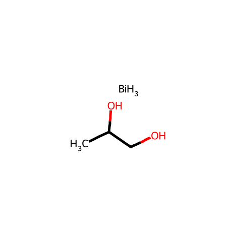 CC(O)CO.[BiH3]